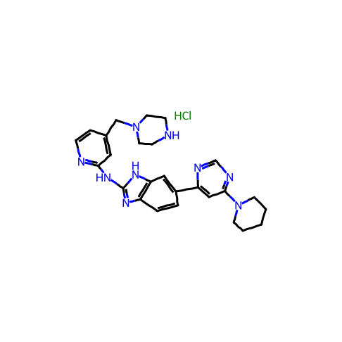 Cl.c1cc(CN2CCNCC2)cc(Nc2nc3ccc(-c4cc(N5CCCCC5)ncn4)cc3[nH]2)n1